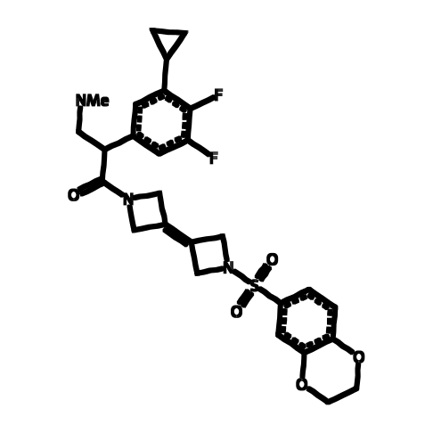 CNCC(C(=O)N1CC(=C2CN(S(=O)(=O)c3ccc4c(c3)OCCO4)C2)C1)c1cc(F)c(F)c(C2CC2)c1